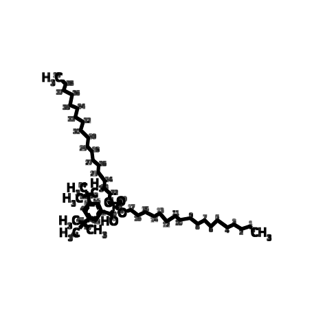 CCCCCCCCCCCCCCCCCCOP(=O)(OCCCCCCCCCCCCCCCCCC)C(O)c1cc(C(C)(C)C)cc(C(C)(C)C)c1